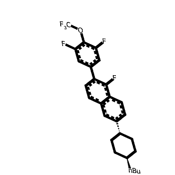 CCCC[C@H]1CC[C@H](c2ccc3c(F)c(-c4cc(F)c(OC(F)(F)F)c(F)c4)ccc3c2)CC1